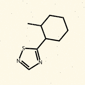 CC1CCCCC1c1ncns1